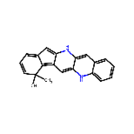 CC1(C)C=CC=c2cc3[nH]c4c(cc-3c21)Nc1ccccc1C=4